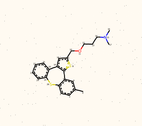 Cc1ccc2c(c1)-c1sc(COCCCN(C)C)cc1-c1ccccc1S2